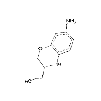 Nc1ccc2c(c1)OCC(CO)N2